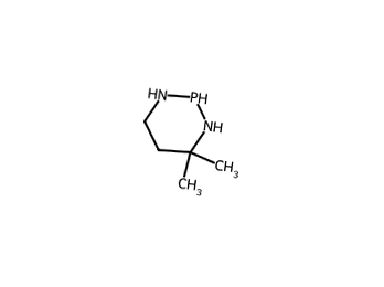 CC1(C)CCNPN1